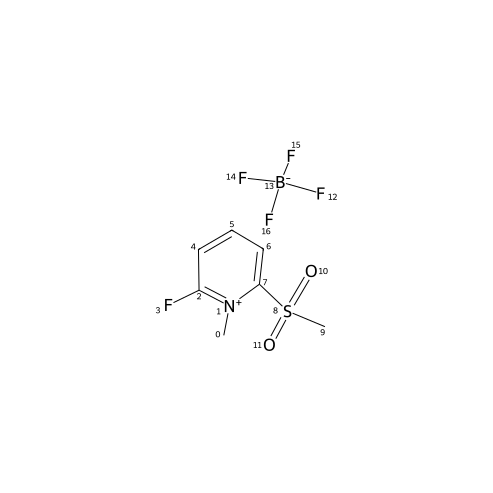 C[n+]1c(F)cccc1S(C)(=O)=O.F[B-](F)(F)F